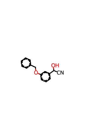 N#CC(O)c1cccc(OCc2ccccc2)c1